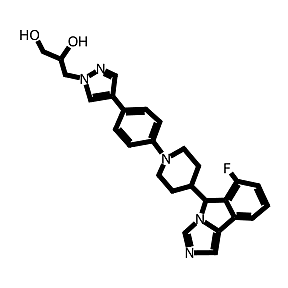 OCC(O)Cn1cc(-c2ccc(N3CCC(C4c5c(F)cccc5-c5cncn54)CC3)cc2)cn1